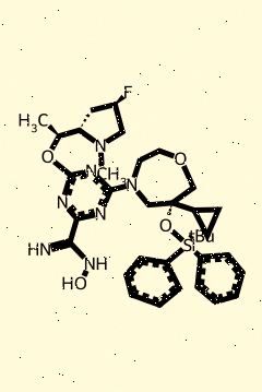 C[C@H](Oc1nc(C(=N)NO)nc(N2CCOC[C@@](O[Si](c3ccccc3)(c3ccccc3)C(C)(C)C)(C3CC3)C2)n1)[C@@H]1C[C@@H](F)CN1C